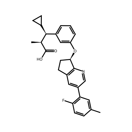 Cc1ccc(F)c(-c2cnc3c(c2)CC[C@H]3Oc2cccc([C@H](C3CC3)[C@H](C)C(=O)O)c2)c1